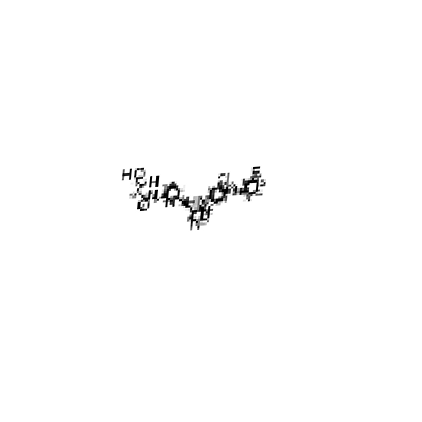 CN(CCO)C(=O)NCc1cccc(C#Cc2cncnc2Nc2ccc(OCc3cccc(F)c3)c(Cl)c2)n1